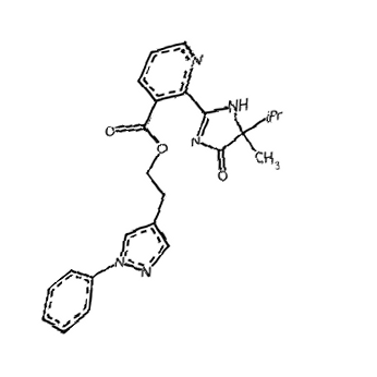 CC(C)C1(C)NC(c2ncccc2C(=O)OCCc2cnn(-c3ccccc3)c2)=NC1=O